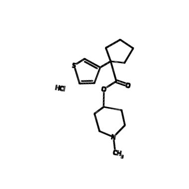 CN1CCC(OC(=O)C2(c3ccsc3)CCCC2)CC1.Cl